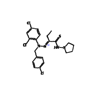 CC/C(=N\N(Cc1ccc(Cl)cc1)c1ccc(Cl)cc1Cl)C(=S)NN1CCCC1